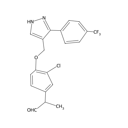 CC(C=O)c1ccc(OCc2c[nH]nc2-c2ccc(C(F)(F)F)cc2)c(Cl)c1